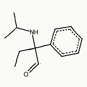 CCC([C]=O)(NC(C)C)c1ccccc1